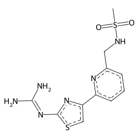 CS(=O)(=O)NCc1cccc(-c2csc(N=C(N)N)n2)n1